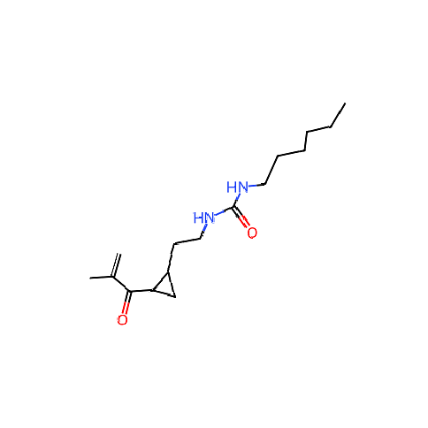 C=C(C)C(=O)C1CC1CCNC(=O)NCCCCCC